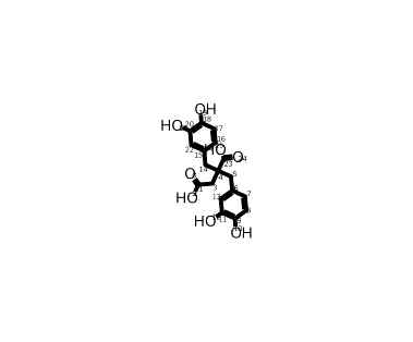 O=C(O)CC(Cc1ccc(O)c(O)c1)(Cc1ccc(O)c(O)c1)C(=O)O